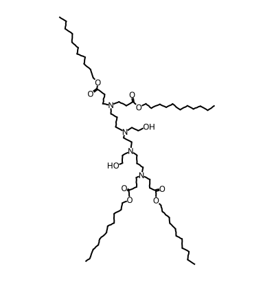 CCCCCCCCCCCOC(=O)CCN(CCCN(CCO)CCN(CCO)CCCN(CCC(=O)OCCCCCCCCCCC)CCC(=O)OCCCCCCCCCCC)CCC(=O)OCCCCCCCCCCC